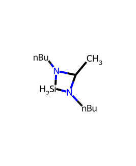 CCCCN1[SiH2]N(CCCC)C1C